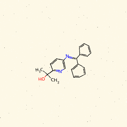 CC(C)(O)c1ccc(N=C(c2ccccc2)c2ccccc2)cn1